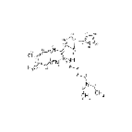 CCN(CC)CCCCNc1nc2cc(C)c(Cl)cc2nc1-c1ccc(-c2cccs2)s1